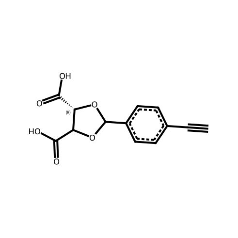 C#Cc1ccc(C2OC(C(=O)O)[C@H](C(=O)O)O2)cc1